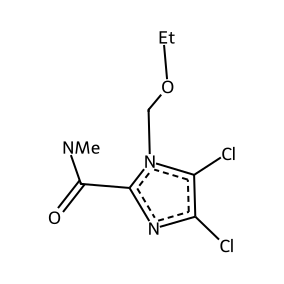 CCOCn1c(C(=O)NC)nc(Cl)c1Cl